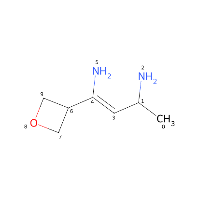 CC(N)/C=C(\N)C1COC1